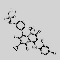 Cn1c(=O)cc(Nc2ccc(Br)cc2F)c2c(=O)n(C3CC3)c(=O)n(-c3cccc(NS(=O)(=O)CC(F)(F)F)c3)c21